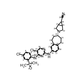 CP(C)(=O)c1cc(Cl)ccc1Nc1nc(Nc2ccc3c(c2)CC[C@H](N2CC4C(C#N)C4C2)CC3)ncc1Cl